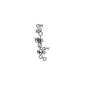 CC1(COc2c(N3CCN(S(=O)(=O)NCc4ccc5oc(CO)nc5c4)CC3)cnn(-c3cccc(Cl)c3)c2=O)CC1